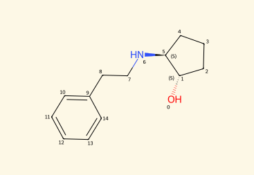 O[C@H]1CCC[C@@H]1NCCc1ccccc1